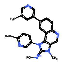 COc1ccc(-n2/c(=N\C#N)n(C)c3cnc4ccc(-c5cncc(C(F)(F)F)c5)cc4c32)cn1